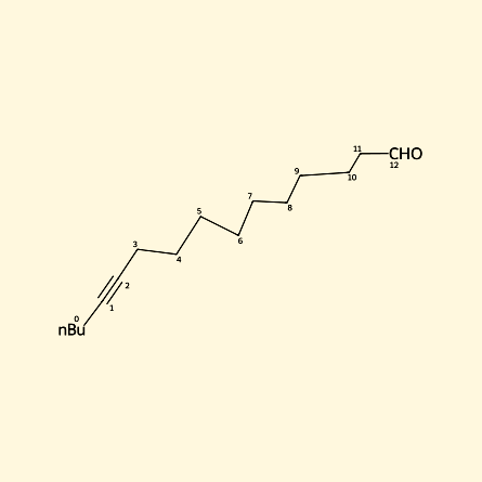 CCCCC#CCCCCCCCCCC=O